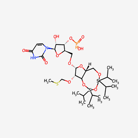 CSCO[C@H]1C2O[Si](C(C)C)(C(C)C)O[Si](C(C)C)(C(C)C)OC[C@H]2O[C@H]1OC[C@H]1O[C@@H](n2ccc(=O)[nH]c2=O)[C@H](O)[C@@H]1O[PH](=O)O